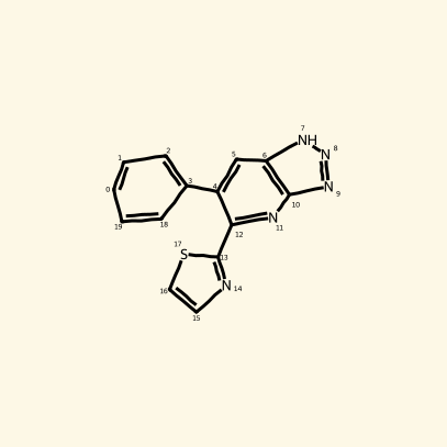 c1ccc(-c2cc3[nH]nnc3nc2-c2nccs2)cc1